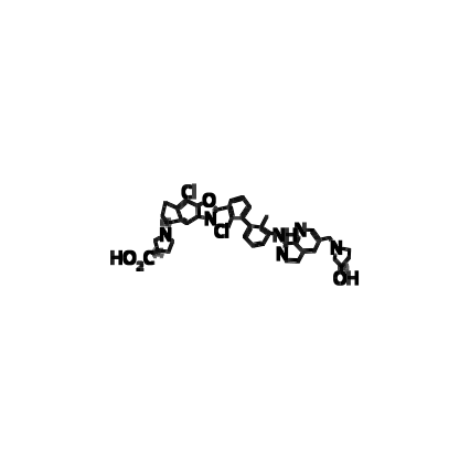 Cc1c(Nc2nccc3cc(CN4CC[C@@H](O)C4)cnc23)cccc1-c1cccc(-c2nc3cc4c(c(Cl)c3o2)CC[C@H]4N2CC[C@@H](C(=O)O)C2)c1Cl